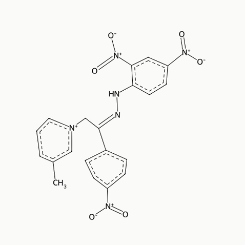 Cc1ccc[n+](C/C(=N\Nc2ccc([N+](=O)[O-])cc2[N+](=O)[O-])c2ccc([N+](=O)[O-])cc2)c1